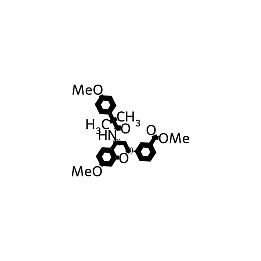 COC(=O)c1cccc([C@H]2C[C@@H](NC(=O)C(C)(C)c3ccc(OC)cc3)c3ccc(OC)cc3O2)c1